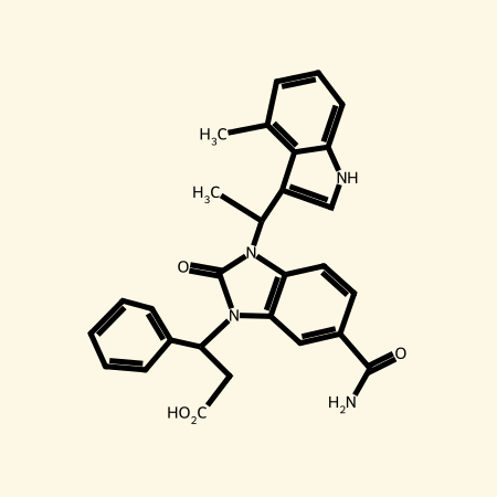 Cc1cccc2[nH]cc(C(C)n3c(=O)n(C(CC(=O)O)c4ccccc4)c4cc(C(N)=O)ccc43)c12